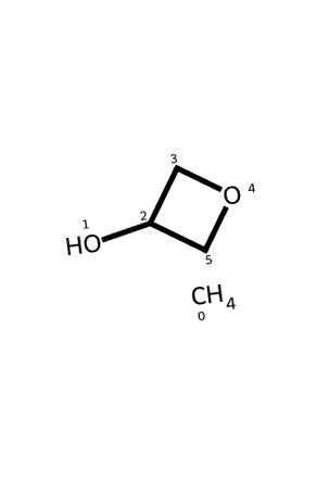 C.OC1COC1